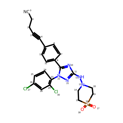 N#CCCC#Cc1ccc(-c2nc(NN3CCS(=O)(=O)CC3)nn2-c2ccc(Cl)cc2Cl)cc1